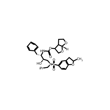 CC(C)CN(C[C@@H](O)[C@H](Cc1ccccc1)NC(=O)OC1CO[C@H]2OCCC12)S(=O)(=O)c1ccc2c(c1)CC(C)O2